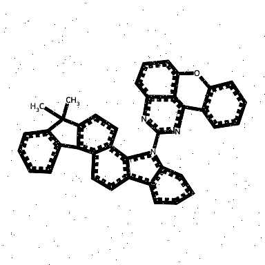 CC1(C)c2ccccc2-c2c1ccc1c2ccc2c3ccccc3n(-c3nc4c5c(cccc5n3)Oc3ccccc3-4)c12